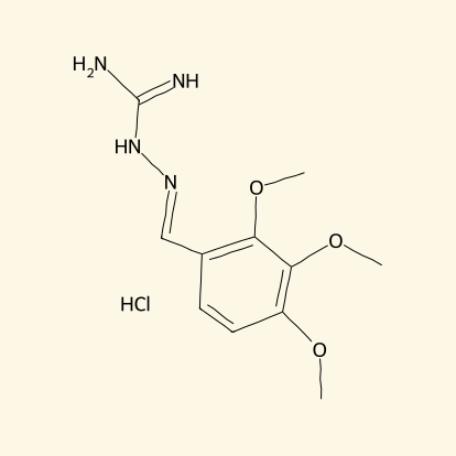 COc1ccc(C=NNC(=N)N)c(OC)c1OC.Cl